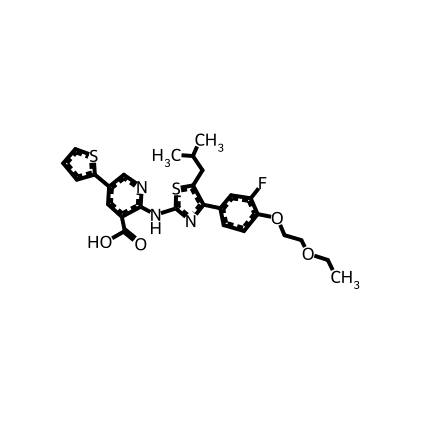 CCOCCOc1ccc(-c2nc(Nc3ncc(-c4cccs4)cc3C(=O)O)sc2CC(C)C)cc1F